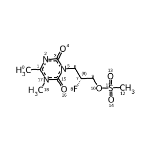 Cc1nc(=O)n(C[C@@H](F)COS(C)(=O)=O)c(=O)n1C